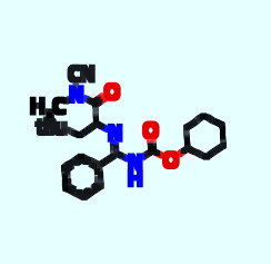 CN(C#N)C(=O)C(CC(C)(C)C)N=C(NC(=O)OC1CCCCC1)c1ccccc1